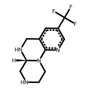 FC(F)(F)c1cnc2c(c1)CN[C@H]1CNCCN21